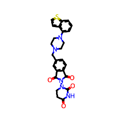 O=C1CCN(N2C(=O)c3ccc(CN4CCN(c5cccc6sccc56)CC4)cc3C2=O)C(=O)N1